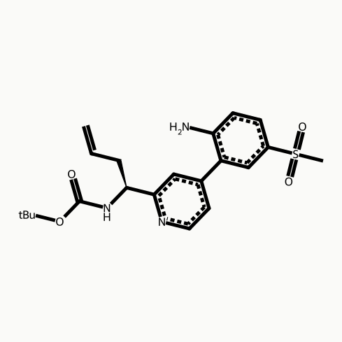 C=CC[C@H](NC(=O)OC(C)(C)C)c1cc(-c2cc(S(C)(=O)=O)ccc2N)ccn1